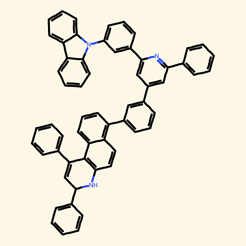 C1=C(c2ccccc2)c2c(ccc3c(-c4cccc(-c5cc(-c6ccccc6)nc(-c6cccc(-n7c8ccccc8c8ccccc87)c6)c5)c4)cccc23)NC1c1ccccc1